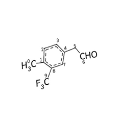 Cc1ccc(CC=O)cc1C(F)(F)F